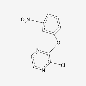 O=[N+]([O-])c1cccc(Oc2nccnc2Cl)c1